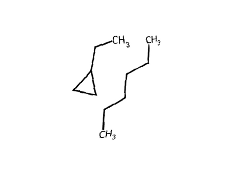 CCC1CC1.CCCCCC